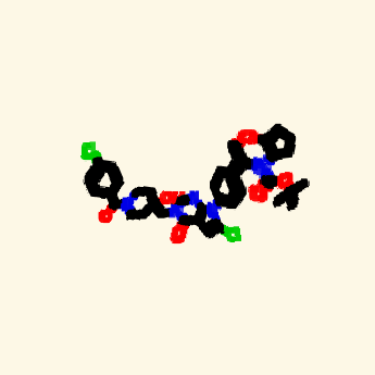 CC(C)(C)OC(=O)N1C(c2ccc(-n3c(Cl)cc4c(=O)n(CC5(O)CCN(C(=O)c6ccc(Cl)cc6)CC5)cnc43)cc2)COC2CCCC21